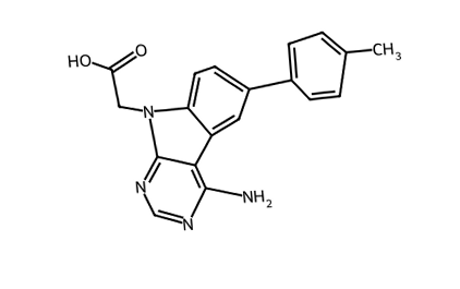 Cc1ccc(-c2ccc3c(c2)c2c(N)ncnc2n3CC(=O)O)cc1